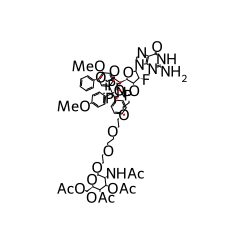 COc1ccc(C(OC(C(=O)COc2ccccc2)[C@H]2O[C@@H](n3cnc4c(=O)[nH]c(N)nc43)[C@H](F)[C@@H]2OP(CCOCCOCCOCCO[C@@H]2O[C@H](COC(C)=O)[C@H](OC(C)=O)[C@H](OC(C)=O)[C@H]2NC(C)=O)N(C(C)C)C(C)C)(c2ccccc2)c2ccc(OC)cc2)cc1